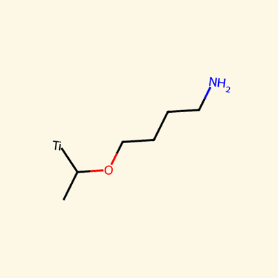 C[CH]([Ti])OCCCCN